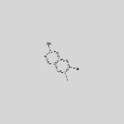 Oc1cc2cc(Br)c(I)cc2cn1